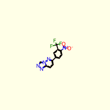 O=[N+]([O-])c1ccc(-c2ccc3nncn3n2)cc1C(F)(F)F